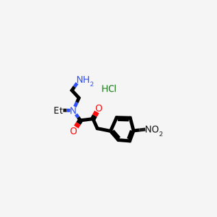 CCN(CCN)C(=O)C(=O)Cc1ccc([N+](=O)[O-])cc1.Cl